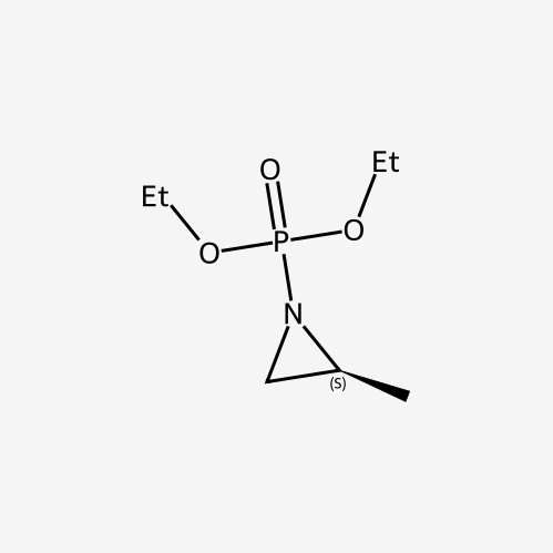 CCOP(=O)(OCC)N1C[C@@H]1C